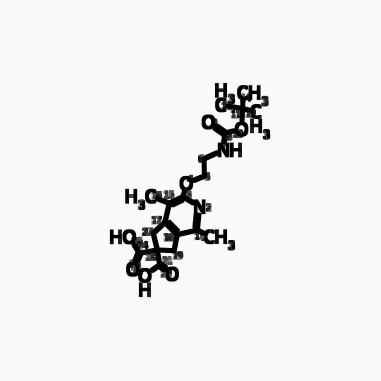 Cc1nc(OCCNC(=O)OC(C)(C)C)c(C)c2c1CC(C(=O)O)(C(=O)O)C2